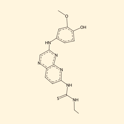 CCNC(=S)Nc1ccc2ncc(Nc3ccc(O)c(OC)c3)nc2n1